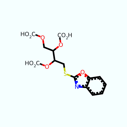 O=C(O)OCC(OC(=O)O)C(CSc1nc2ccccc2o1)OC(=O)O